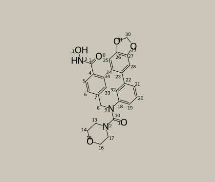 O=C(NO)c1ccc(CN(C(=O)N2CCOCC2)c2cccc(-c3ccc4c(c3)OCO4)c2)cc1